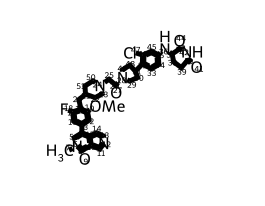 COc1cc(-c2cn(C)c(=O)c3cnccc23)cc(F)c1CC1CCN(CC(=O)N2CCC(c3ccc(NC4CCC(=O)NC4=O)cc3Cl)CC2)CC1